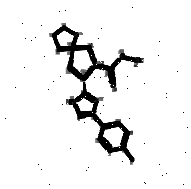 Cc1ccc(-c2c[nH]c([C@@H]3C[C@]4(CCCO4)CN3C(=O)OC(C)(C)C)n2)cc1